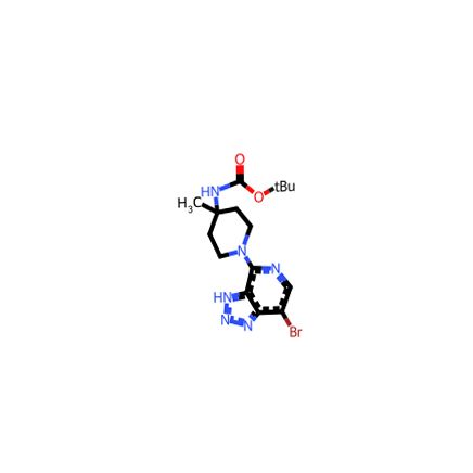 CC1(NC(=O)OC(C)(C)C)CCN(c2ncc(Br)c3nn[nH]c23)CC1